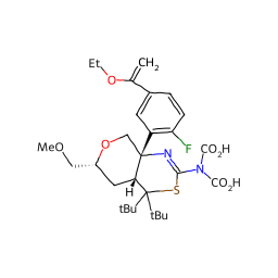 C=C(OCC)c1ccc(F)c([C@]23CO[C@@H](COC)C[C@H]2C(C(C)(C)C)(C(C)(C)C)SC(N(C(=O)O)C(=O)O)=N3)c1